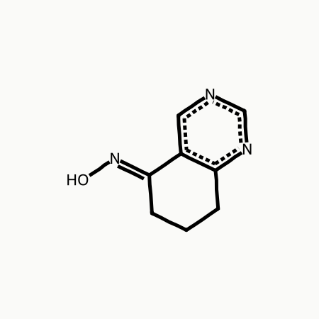 ON=C1CCCc2ncncc21